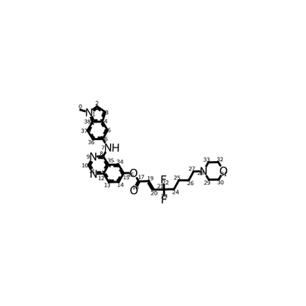 Cn1ccc2cc(Nc3ncnc4ccc(OC(=O)C=CC(F)(F)CCCCN5CCOCC5)cc34)ccc21